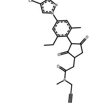 C#CCN(C)C(=O)CC1CC(=O)C(c2c(C)cc(-n3cc(Cl)cn3)cc2CC)C1=O